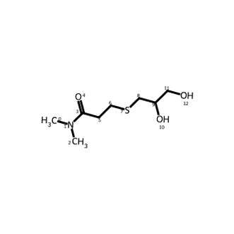 CN(C)C(=O)CCSCC(O)CO